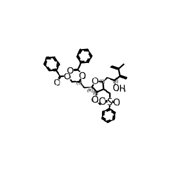 C=C(C)C(=C)[C@H](O)C[C@@H]1O[C@H](C[C@@H](COC(=O)c2ccccc2)OC(=O)c2ccccc2)[C@H](OC)C1CS(=O)(=O)c1ccccc1